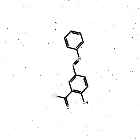 O=C(O)c1cc(/N=N/c2ccccc2)ccc1O